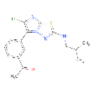 CC(=O)c1cccc(-c2c(Cl)nc3sc(NCC(C)C)nn23)c1